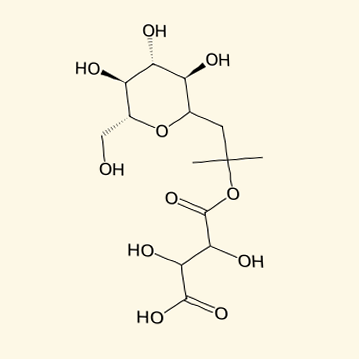 CC(C)(CC1O[C@H](CO)[C@@H](O)[C@H](O)[C@H]1O)OC(=O)C(O)C(O)C(=O)O